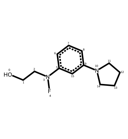 OCCN(F)c1cccc(N2CCCC2)c1